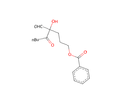 CCCCC(=O)C(O)(C=O)CCCOC(=O)c1ccccc1